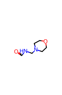 O=CNCN1CCOCC1